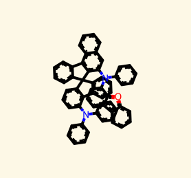 c1ccc(N(c2ccccc2)c2cccc3c2-c2ccccc2C32c3ccccc3-c3c2c(N(c2ccccc2)c2cccc4c2oc2ccccc24)cc2ccccc32)cc1